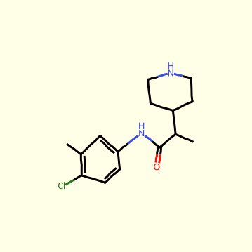 Cc1cc(NC(=O)C(C)C2CCNCC2)ccc1Cl